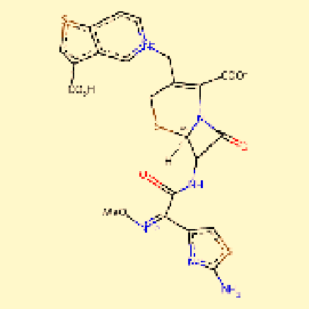 CO/N=C(\C(=O)NC1C(=O)N2C(C(=O)[O-])=C(C[n+]3ccc4scc(C(=O)O)c4c3)CS[C@H]12)c1csc(N)n1